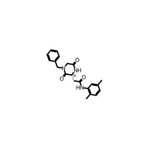 Cc1ccc(C)c(NC(=O)C[C@H]2NC(=O)CN(Cc3ccccc3)C2=O)c1